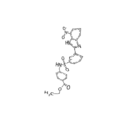 CCOC(=O)c1ccc(NS(=O)(=O)c2cccc(-c3nc4cccc([N+](=O)[O-])c4[nH]3)c2)cc1